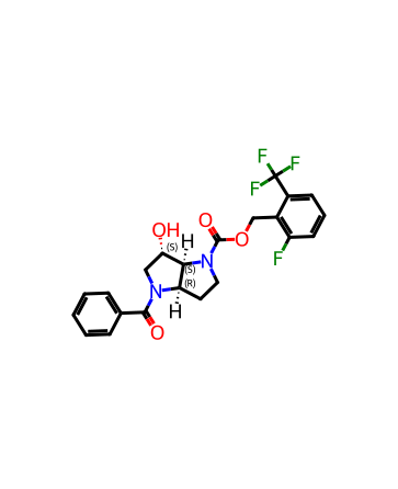 O=C(OCc1c(F)cccc1C(F)(F)F)N1CC[C@@H]2[C@H]1[C@@H](O)CN2C(=O)c1ccccc1